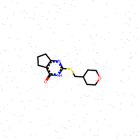 O=c1[nH]c(SCC2CCOCC2)nc2c1CCC2